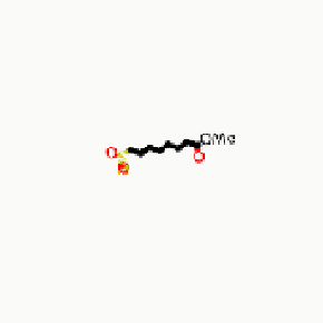 COC(=O)CCCCCCC[SH](=O)=O